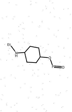 CCNC1CCC(OP=O)CC1